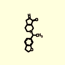 CC(c1ccc2c(c1)OCC2)N1CCC2=C(C1)C(=O)NC2